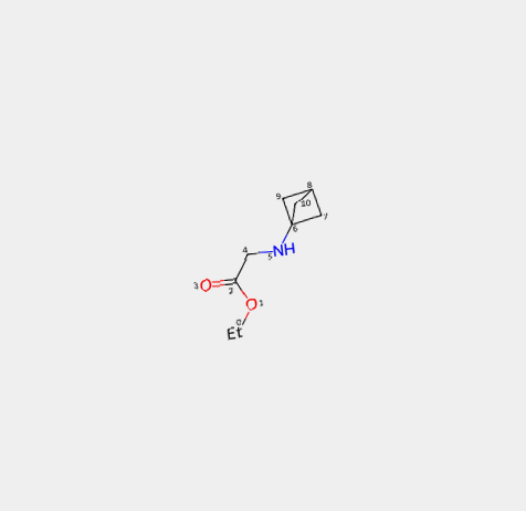 CCOC(=O)CNC12CC(C1)C2